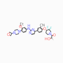 CCOc1cc(Nc2nccc(-c3ccc(OC4CCN(C(=O)[C@H](C)O)CC4(F)F)c(C#N)c3)n2)ccc1N1CCN(C2COC2)CC1